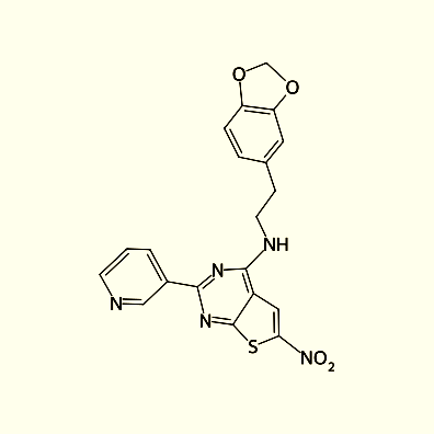 O=[N+]([O-])c1cc2c(NCCc3ccc4c(c3)OCO4)nc(-c3cccnc3)nc2s1